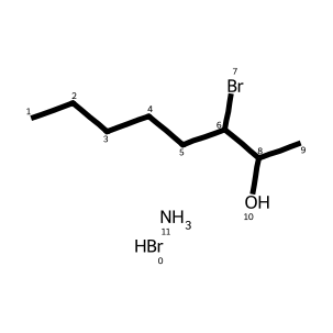 Br.CCCCCC(Br)C(C)O.N